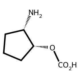 N[C@H]1CCC[C@H]1OC(=O)O